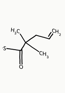 C=CCC(C)(C)C(=O)[S]